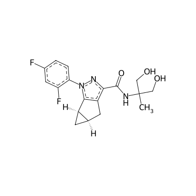 CC(CO)(CO)NC(=O)c1nn(-c2ccc(F)cc2F)c2c1C[C@H]1C[C@@H]21